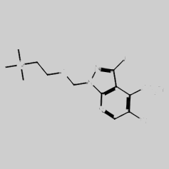 CCOC(=O)c1c(Cl)cnc2c1c(I)nn2COCC[Si](C)(C)C